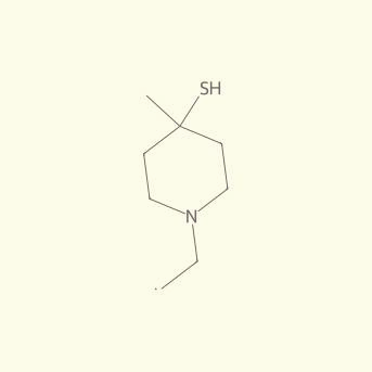 [CH2]CN1CCC(C)(S)CC1